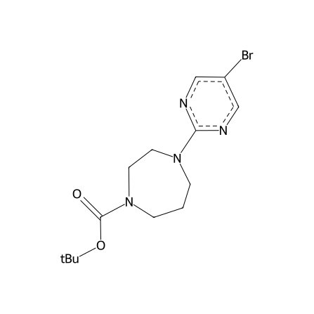 CC(C)(C)OC(=O)N1CCCN(c2ncc(Br)cn2)CC1